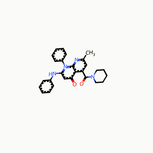 Cc1cc(C(=O)N2CCCCC2)c2c(=O)cc(Nc3ccccc3)n(-c3ccccc3)c2n1